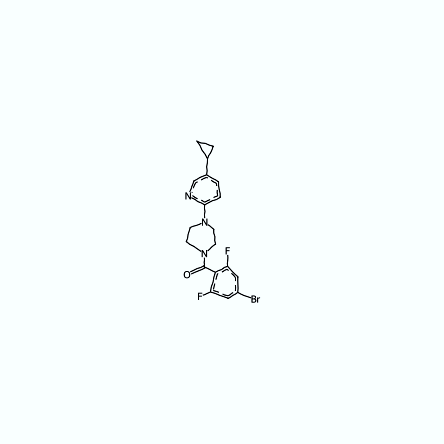 O=C(c1c(F)cc(Br)cc1F)N1CCN(c2ccc(C3CC3)cn2)CC1